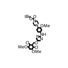 COc1cc(Nc2ncc(OCc3c(Cl)c(OC)cc(OC)c3Cl)cn2)ccc1N1CCN(C(=O)OC(C)(C)C)CC1